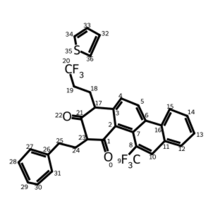 O=C1c2c(ccc3c2c(C(F)(F)F)cc2ccccc23)C(CCC(F)(F)F)C(=O)C1CCc1ccccc1.c1ccsc1